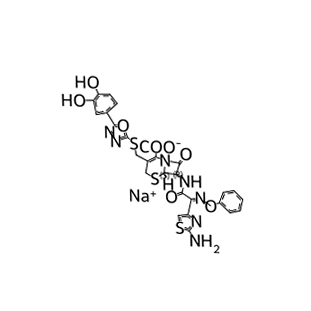 Nc1nc(C(=NOc2ccccc2)C(=O)N[C@@H]2C(=O)N3C(C(=O)[O-])=C(CSc4nnc(-c5ccc(O)c(O)c5)o4)CS[C@@H]23)cs1.[Na+]